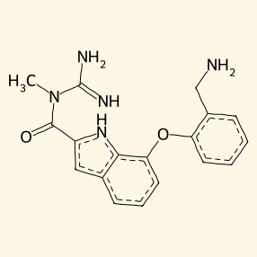 CN(C(=N)N)C(=O)c1cc2cccc(Oc3ccccc3CN)c2[nH]1